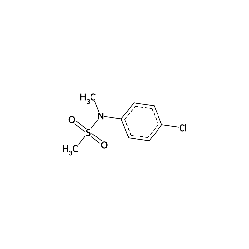 CN(c1ccc(Cl)cc1)S(C)(=O)=O